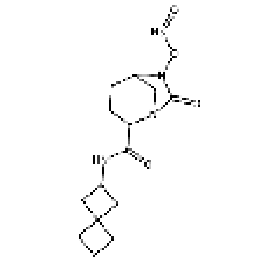 O=[SH]ON1C(=O)N2CC1CCC2C(=O)NC1CC2(CCC2)C1